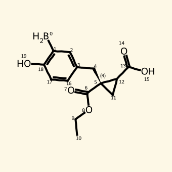 Bc1cc(C[C@]2(C(=O)OCC)CC2C(=O)O)ccc1O